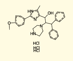 COc1ccc(-c2nc(C(O)C(C(c3ccccc3)c3ccccc3)N3CCNCC3)c(C)[nH]2)cc1.Cl.Cl.Cl